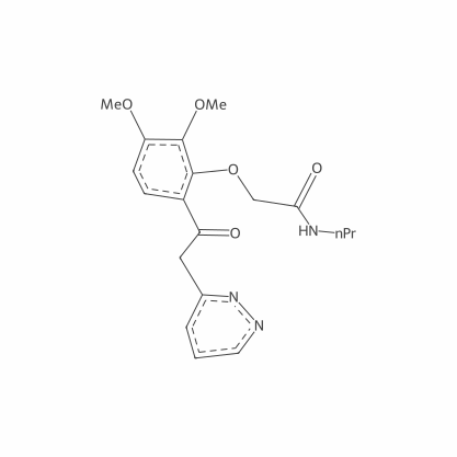 CCCNC(=O)COc1c(C(=O)Cc2cccnn2)ccc(OC)c1OC